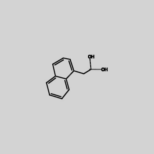 O[C](O)Cc1cccc2ccccc12